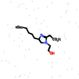 CCCCCCCCCCCCCCC1CN(CCO)C(CC(=O)O)=N1